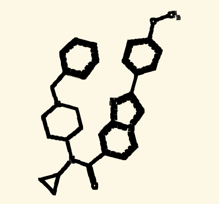 O=C(c1ccn2cc(-c3ccc(OC(F)(F)F)cc3)nc2c1)N(C1CC1)C1CCN(Cc2ccccc2)CC1